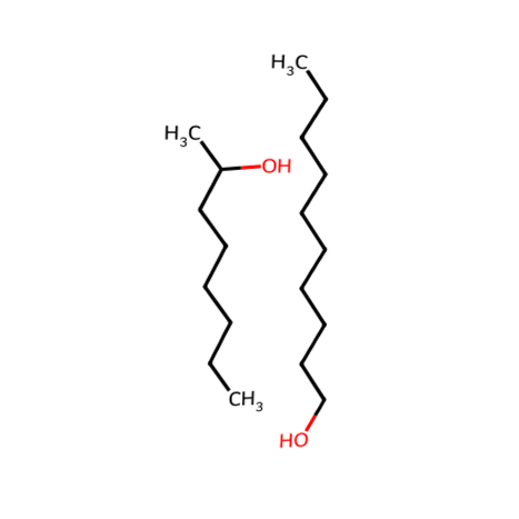 CCCCCCC(C)O.CCCCCCCCCCO